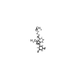 COCCC/N=C1\CCCc2c1c(C)nn2-c1cc(F)cc(F)c1